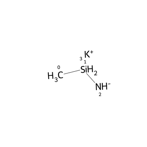 C[SiH2][NH-].[K+]